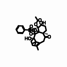 CC(=O)O[C@@]1(C)C(O)CC[C@@]2(C)C(=O)CC3=C(C)CC[C@](O)(C3(C)C)C(O)(OC(=O)c3ccccc3)[C@@]21O